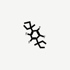 CCC(C)(CC)c1c(F)c(F)c(C(C)(CC)CC)c(F)c1F